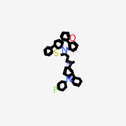 C/C(=C\CC(C)N(c1cccc2oc3ccccc3c12)C1C=CCC2c3ccccc3SC21)c1ccc2c(c1)c1c(n2C2CC=C(F)CC2)C=CCC1